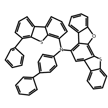 c1ccc(-c2ccc(N(c3cccc4c3sc3c(-c5ccccc5)cccc34)c3cc4c5ccccc5sc4c4oc5ccccc5c34)cc2)cc1